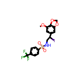 COc1cc(C(I)CNS(=O)(=O)c2ccc(C(F)(F)F)cc2)cc2c1OCO2